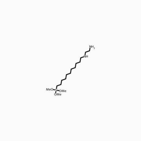 CO[Si](CCCCCCCCCCCNCCN)(OC)OC